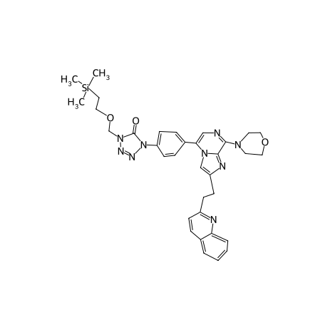 C[Si](C)(C)CCOCn1nnn(-c2ccc(-c3cnc(N4CCOCC4)c4nc(CCc5ccc6ccccc6n5)cn34)cc2)c1=O